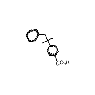 CC(C)(Cc1ccccc1)c1ccc(C(=O)O)cc1